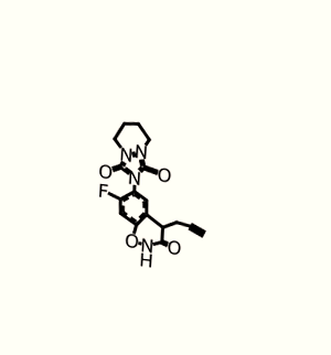 C#CCC1C(=O)NOc2cc(F)c(-n3c(=O)n4n(c3=O)CCCC4)cc21